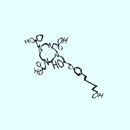 O=C(O)CN1CCN(CC(=O)O)CCN(CC(O)COc2ccc(CCCCCO)cc2)CCN(CC(=O)O)CC1